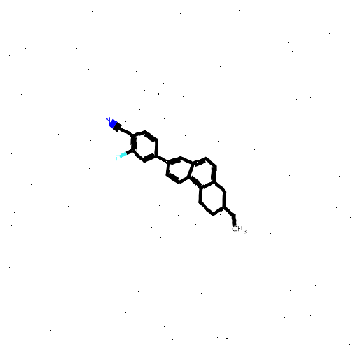 CCC1CCc2c(ccc3cc(-c4ccc(C#N)c(F)c4)ccc23)C1